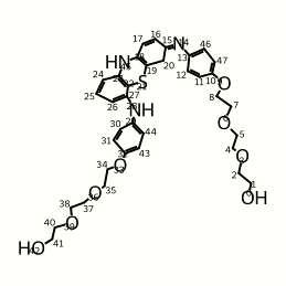 OCCOCCOCCOc1ccc(N=C2C=CC3=C(C2)Sc2c(cccc2Nc2ccc(OCCOCCOCCO)cc2)N3)cc1